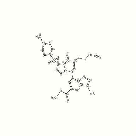 C=CCCn1cc(-c2cc(C(=O)OC)cc3c2ncn3C)c2ccn(S(=O)(=O)c3ccc(C)cc3)c2c1=O